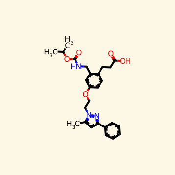 Cc1cc(-c2ccccc2)nn1CCOc1ccc(CCC(=O)O)c(CNC(=O)OC(C)C)c1